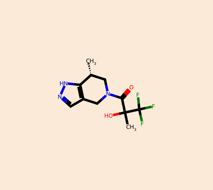 C[C@@H]1CN(C(=O)C(C)(O)C(F)(F)F)Cc2cn[nH]c21